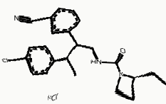 CC[C@H]1CCN1C(=O)NCC(c1cccc(C#N)c1)C(C)c1ccc(Cl)cc1.Cl